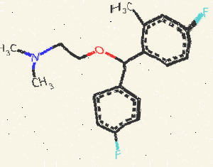 Cc1cc(F)ccc1C(OCCN(C)C)c1ccc(F)cc1